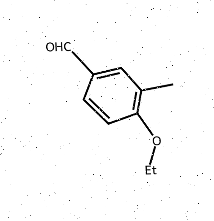 [CH2]COc1ccc(C=O)cc1C